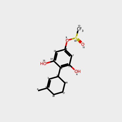 CC1=CC(c2c(O)cc(OS(=O)C(F)(F)F)cc2O)CCC1